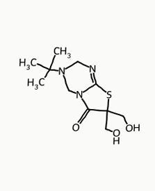 CC(C)(C)N1CN=C2SC(CO)(CO)C(=O)N2C1